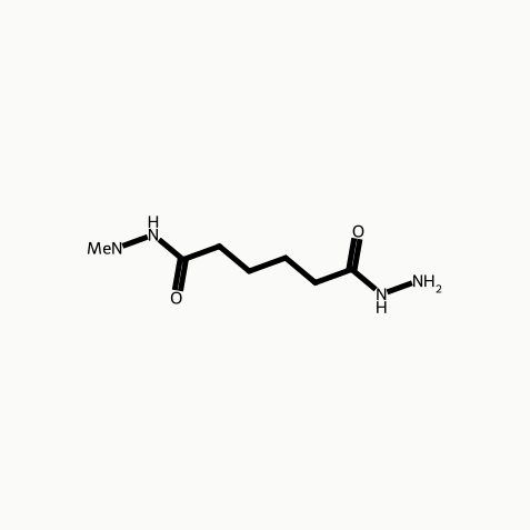 CNNC(=O)CCCCC(=O)NN